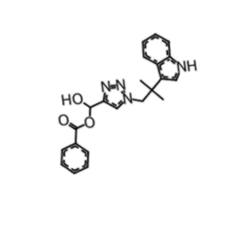 CC(C)(Cn1cc(C(O)OC(=O)c2ccccc2)nn1)c1c[nH]c2ccccc12